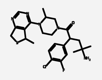 CC1SCc2ncnc(N3CCN(C(=O)C(CC(C)(C)N)c4ccc(Cl)c(F)c4)CC3C)c21